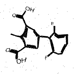 Cc1c(C(=O)O)cc(-c2c(F)cccc2F)cc1C(=O)O